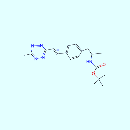 Cc1nnc(/C=C/c2ccc(CC(C)NC(=O)OC(C)(C)C)cc2)nn1